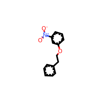 O=[N+]([O-])c1cccc(OCCc2ccccc2)c1